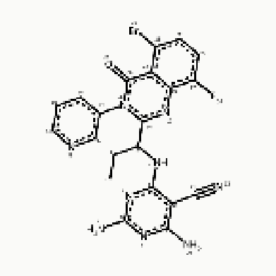 CCC(Nc1nc(N)nc(N)c1C#N)c1nc2c(F)ccc(Br)c2c(=O)n1-c1cccnc1